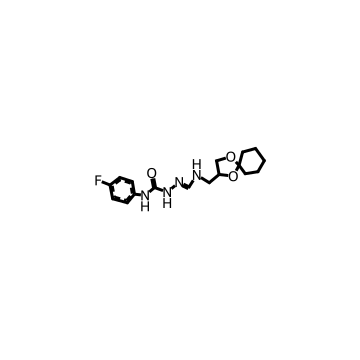 O=C(NN=CNCC1COC2(CCCCC2)O1)Nc1ccc(F)cc1